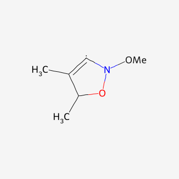 CON1[C]=C(C)C(C)O1